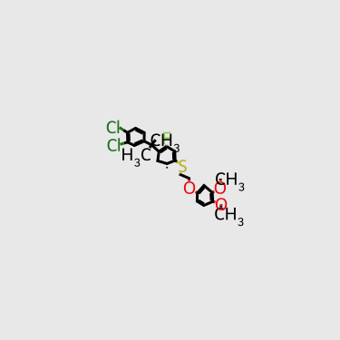 COc1ccc(OCCSC2=CC(F)=C(C(C)(C)c3ccc(Cl)c(Cl)c3)C[CH]2)cc1OC